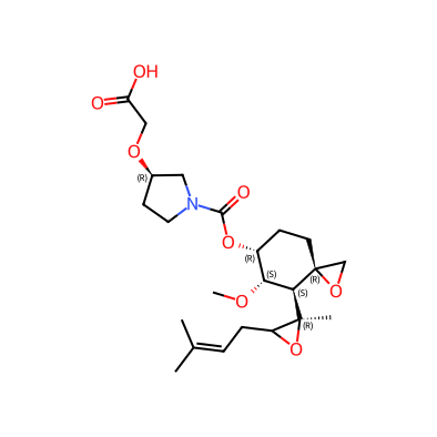 CO[C@@H]1[C@H](OC(=O)N2CC[C@@H](OCC(=O)O)C2)CC[C@]2(CO2)[C@H]1[C@@]1(C)OC1CC=C(C)C